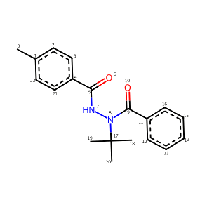 Cc1ccc(C(=O)NN(C(=O)c2ccccc2)C(C)(C)C)cc1